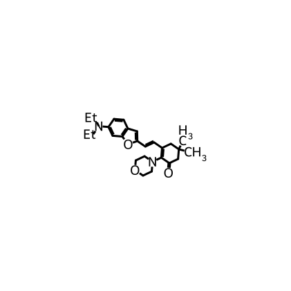 CCN(CC)c1ccc2cc(/C=C/C3=C(N4CCOCC4)C(=O)CC(C)(C)C3)oc2c1